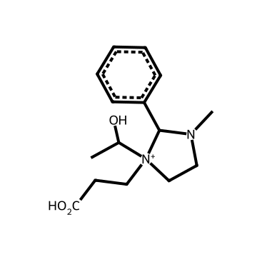 CC(O)[N+]1(CCC(=O)O)CCN(C)C1c1ccccc1